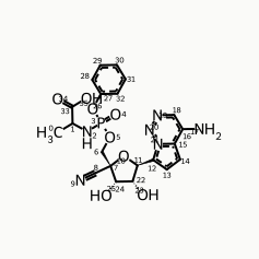 CC(NP(=O)(OC[C@@]1(C#N)O[C@@H](c2ccc3c(N)cnnn23)[C@H](O)[C@@H]1O)Oc1ccccc1)C(=O)O